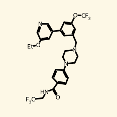 CCOc1cncc(-c2cc(CN3CCN(c4ccc(C(=O)NCC(F)(F)F)cc4)CC3)cc(OC(F)(F)F)c2)c1